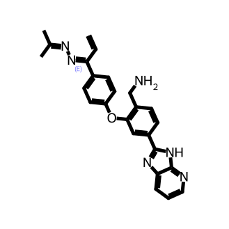 C=C/C(=N\N=C(C)C)c1ccc(Oc2cc(-c3nc4cccnc4[nH]3)ccc2CN)cc1